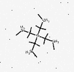 C[SiH2]C(C)(C)[Te](C(C)(C)[SiH2]C)(C(C)(C)[SiH2]C)C(C)(C)[SiH2]C